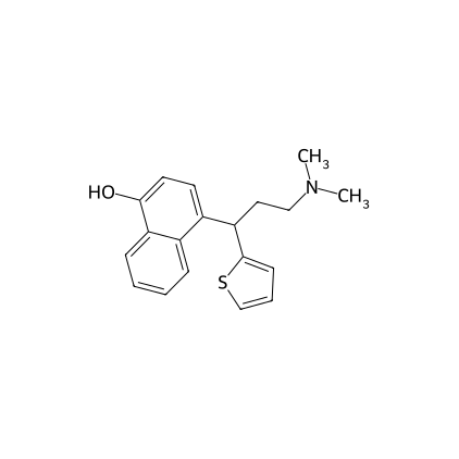 CN(C)CCC(c1cccs1)c1ccc(O)c2ccccc12